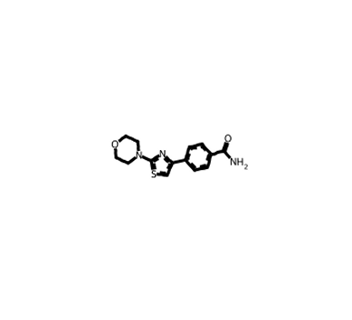 NC(=O)c1ccc(-c2csc(N3CCOCC3)n2)cc1